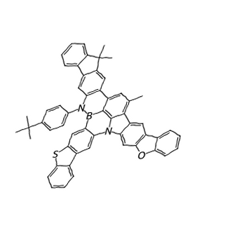 Cc1cc2c3c4c1c1cc5c(cc1n4-c1cc4c(cc1B3N(c1ccc(C(C)(C)C)cc1)c1cc3c(cc1-2)C(C)(C)c1ccccc1-3)sc1ccccc14)oc1ccccc15